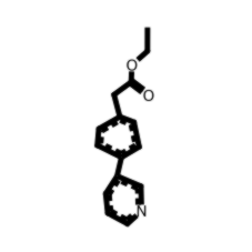 CCOC(=O)Cc1ccc(-c2cccnc2)cc1